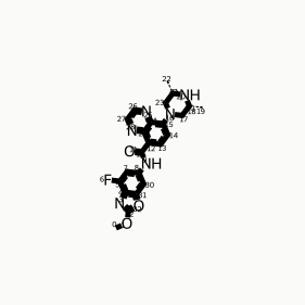 COc1nc2c(F)cc(NC(=O)c3ccc(N4C[C@@H](C)N[C@@H](C)C4)c4nccnc34)cc2o1